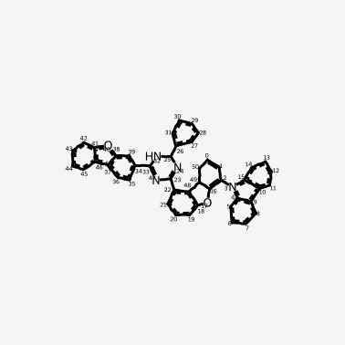 C1=CC(n2c3ccccc3c3ccccc32)=C2Oc3cccc(C4=NC(c5ccccc5)NC(c5ccc6c(c5)oc5ccccc56)=N4)c3C2C1